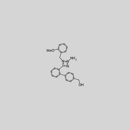 COc1ccccc1Cn1c(-c2ccccc2-c2ccc(CO)cc2)nn1N